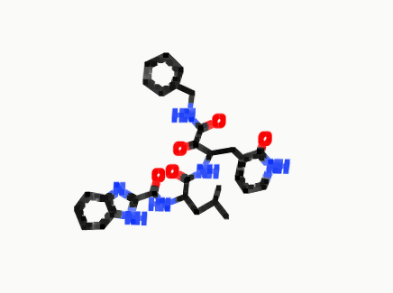 CC(C)CC(NC(=O)c1nc2ccccc2[nH]1)C(=O)NC(Cc1ccc[nH]c1=O)C(=O)C(=O)NCc1ccccc1